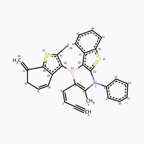 C#C/C=C\C1=C(C)N(c2ccccc2)c2sc3ccccc3c2B1c1c(I)sc2c1C=CCC2=C